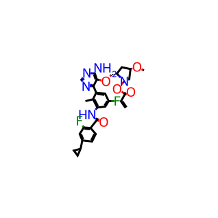 C=CC(=O)ON1C[C@H](OC)C[C@H]1COc1c(N)ncnc1-c1cc(F)cc(NC(=O)c2ccc(C3CC3)cc2F)c1C